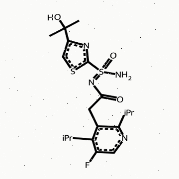 CC(C)c1ncc(F)c(C(C)C)c1CC(=O)N=S(N)(=O)c1nc(C(C)(C)O)cs1